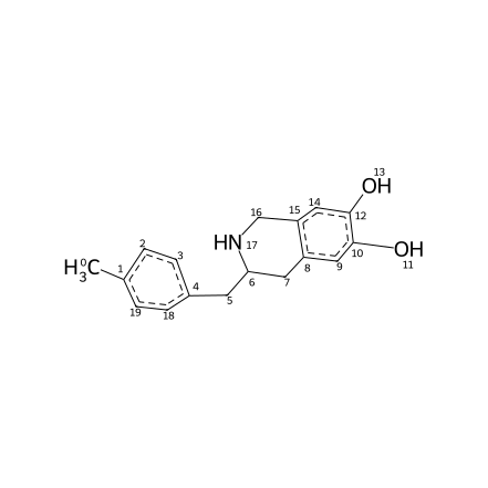 Cc1ccc(CC2Cc3cc(O)c(O)cc3CN2)cc1